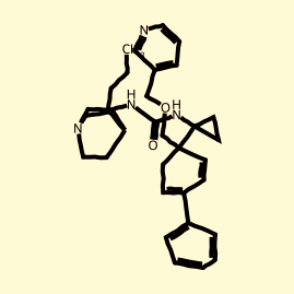 CCCC1(NC(=O)NC2(C3(COCc4cccnc4)C=CC(c4ccccc4)=CC3)CC2)CN2CCC1CC2